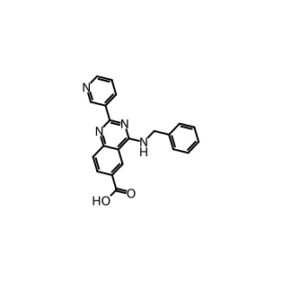 O=C(O)c1ccc2nc(-c3cccnc3)nc(NCc3ccccc3)c2c1